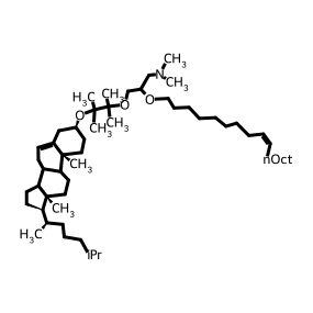 CCCCCCCC/C=C\CCCCCCCCOC(COC(C)(C)C(C)(C)O[C@H]1CC[C@@]2(C)C(=CCC3C2CC[C@@]2(C)C3CC[C@@H]2[C@H](C)CCCC(C)C)C1)CN(C)C